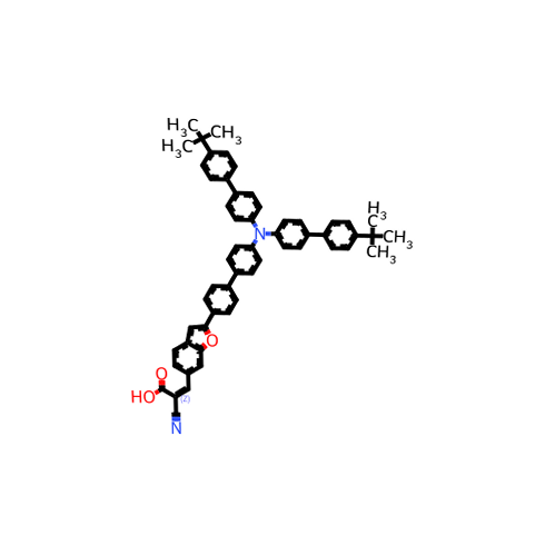 CC(C)(C)c1ccc(-c2ccc(N(c3ccc(-c4ccc(-c5cc6ccc(/C=C(/C#N)C(=O)O)cc6o5)cc4)cc3)c3ccc(-c4ccc(C(C)(C)C)cc4)cc3)cc2)cc1